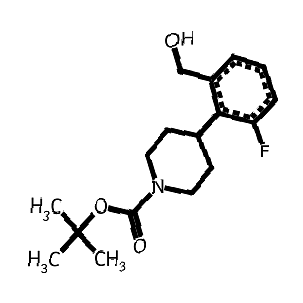 CC(C)(C)OC(=O)N1CCC(c2c(F)cccc2CO)CC1